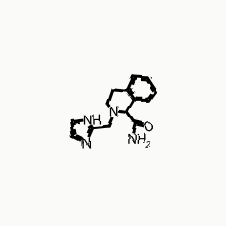 NC(=O)C1c2cc[c]cc2CCN1Cc1ncc[nH]1